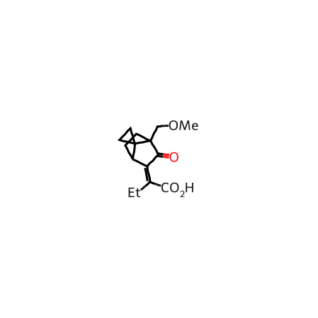 CCC(C(=O)O)=C1C(=O)C2(COC)CCC1C21CC1